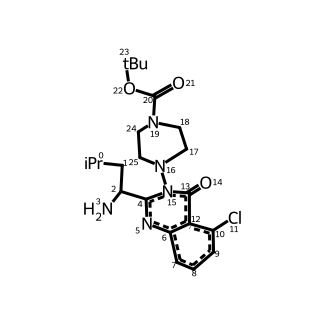 CC(C)CC(N)c1nc2cccc(Cl)c2c(=O)n1N1CCN(C(=O)OC(C)(C)C)CC1